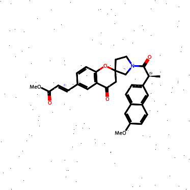 COC(=O)/C=C/c1ccc2c(c1)C(=O)CC1(CCN(C(=O)[C@@H](C)c3ccc4cc(OC)ccc4c3)C1)O2